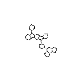 c1ccc(-n2c3ccccc3c3cc4c(cc32)c2ccccc2n4-c2cccc(-c3cc4ccccc4c4ccccc34)c2)cc1